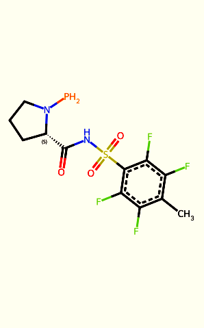 Cc1c(F)c(F)c(S(=O)(=O)NC(=O)[C@@H]2CCCN2P)c(F)c1F